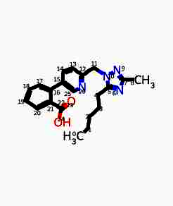 CCCCCc1nc(C)nn1Cc1ccc(-c2ccccc2C(=O)O)cn1